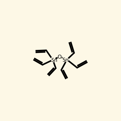 C=[CH][Sn]([CH]=C)([CH]=C)[O][Sn]([CH]=C)([CH]=C)[CH]=C